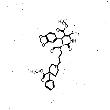 COC(=O)C1=C(C)NC(=O)N(N(C=O)CCCN2CCC(C(=O)OC)(c3ccccc3)CC2)C1c1ccc2c(c1)OCO2